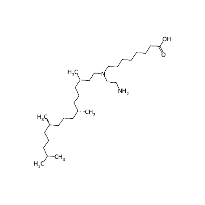 CC(C)CCC[C@@H](C)CCC[C@@H](C)CCCC(C)CCN(CCN)CCCCCCCC(=O)O